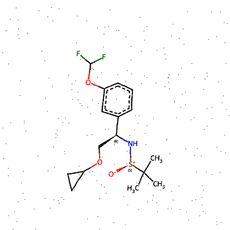 CC(C)(C)[S@@+]([O-])N[C@@H](COC1CC1)c1cccc(OC(F)F)c1